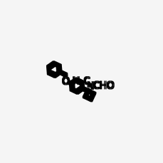 CN(C=O)C1(c2ccc(OCc3ccccc3)cc2)CCC1